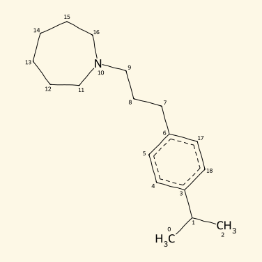 CC(C)c1ccc(CCCN2CCCCCC2)cc1